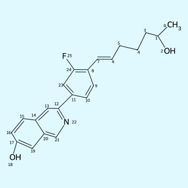 CC(O)CCC/C=C/c1ccc(-c2cc3ccc(O)cc3cn2)cc1F